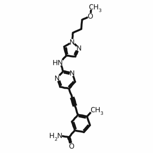 COCCCn1cc(Nc2ncc(C#Cc3cc(C(N)=O)ccc3C)cn2)cn1